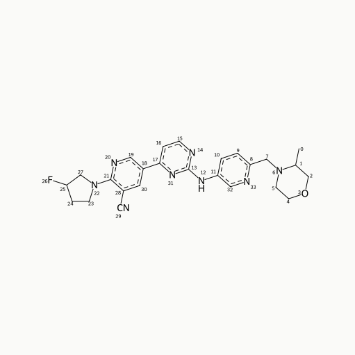 CC1COCCN1Cc1ccc(Nc2nccc(-c3cnc(N4CCC(F)C4)c(C#N)c3)n2)cn1